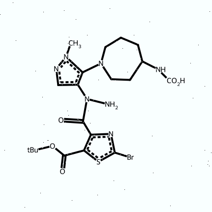 Cn1ncc(N(N)C(=O)c2nc(Br)sc2C(=O)OC(C)(C)C)c1N1CCCC(NC(=O)O)CC1